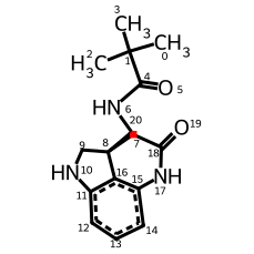 CC(C)(C)C(=O)NCC12CNc3cccc(c31)NC(=O)C2